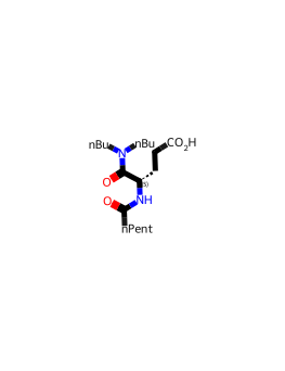 CCCCCC(=O)N[C@@H](CCC(=O)O)C(=O)N(CCCC)CCCC